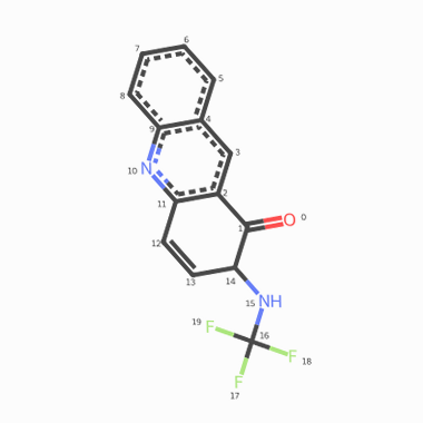 O=C1c2cc3ccccc3nc2C=CC1NC(F)(F)F